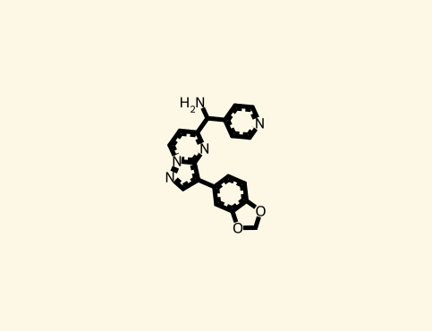 NC(c1ccncc1)c1ccn2ncc(-c3ccc4c(c3)OCO4)c2n1